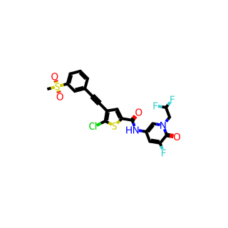 CS(=O)(=O)c1cccc(C#Cc2cc(C(=O)Nc3cc(F)c(=O)n(CC(F)F)c3)sc2Cl)c1